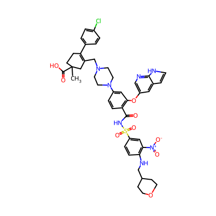 CC1(C(=O)O)CCC(c2ccc(Cl)cc2)=C(CN2CCN(c3ccc(C(=O)NS(=O)(=O)c4ccc(NCC5CCOCC5)c([N+](=O)[O-])c4)c(Oc4cnc5[nH]ccc5c4)c3)CC2)C1